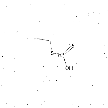 CCS[PH](O)=S